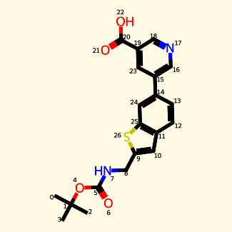 CC(C)(C)OC(=O)NCc1cc2ccc(-c3cncc(C(=O)O)c3)cc2s1